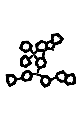 c1ccc(-c2ccc(N(c3cccc(-c4ccc5ccccc5c4)c3)c3ccc4c(c3)[Si](c3ccccc3)(c3ccccc3)c3ccc5c(sc6ccccc65)c3-4)cc2)cc1